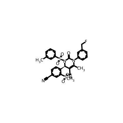 CC1=C(C#N)[C@@H](c2ccc(C#N)cc2S(C)(=O)=O)N(S(=O)(=O)c2cccc(C)c2)C(=O)N1c1cccc(CF)c1